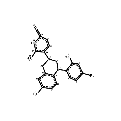 Cc1cc(F)ccc1N1CN(c2ccc(=O)[nH]c2C)Cc2cc(C(F)(F)F)ccc21